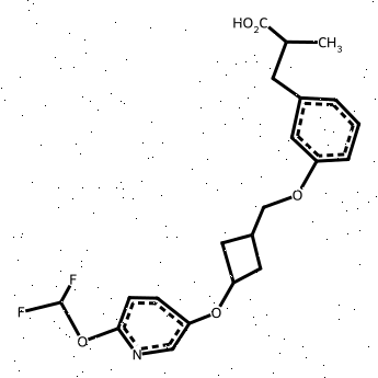 CC(Cc1cccc(OCC2CC(Oc3ccc(OC(F)F)nc3)C2)c1)C(=O)O